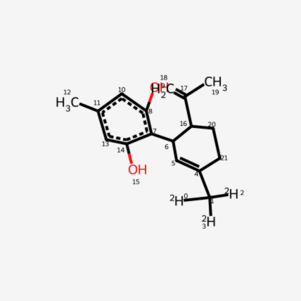 [2H]C([2H])([2H])C1=CC(c2c(O)cc(C)cc2O)C(C(=C)C)CC1